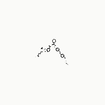 COC(=O)CCCCN(C1CC1)S(=O)(=O)c1cccc(C(=O)Nc2sc3c(c2C(=O)Nc2ccc(CCc4ccc(C(=O)OCN=[N+]=[N-])cc4)cc2)CCCC3)c1